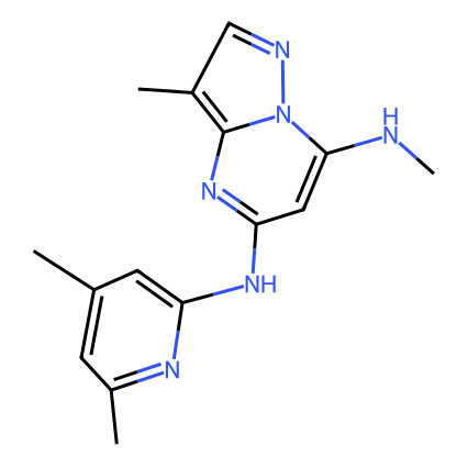 CNc1cc(Nc2cc(C)cc(C)n2)nc2c(C)cnn12